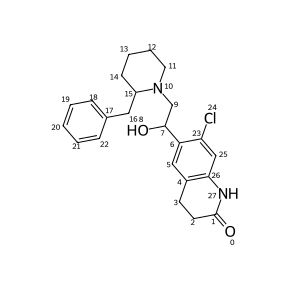 O=C1CCc2cc(C(O)CN3CCCCC3Cc3ccccc3)c(Cl)cc2N1